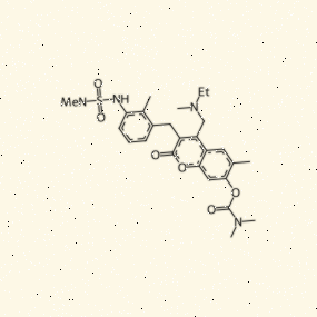 CCN(C)Cc1c(Cc2cccc(NS(=O)(=O)NC)c2C)c(=O)oc2cc(OC(=O)N(C)C)c(C)cc12